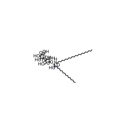 CCCCCCCCCCCCC/C=C/[C@@H](O)[C@H](CO[C@@H]1OC(CO)[C@@H](O[C@@H]2OC(CO)[C@H](O)[C@H](O)C2O)[C@H](O)C1O)NC(=O)CCCCCCCCCCCCCCCCCCCCC